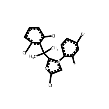 CCc1cn(-c2ccc(Br)cc2F)c(C(C)(C)c2c(Cl)cccc2Cl)n1